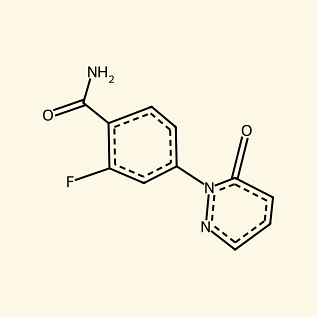 NC(=O)c1ccc(-n2ncccc2=O)cc1F